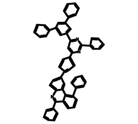 c1ccc(-c2cc(-c3ccccc3)cc(-c3cc(-c4ccc(-c5ccc6nc(-c7ccccc7)c7cccc(-c8ccccc8)c7c6c5)cc4)nc(-c4ccccc4)n3)c2)cc1